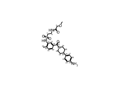 COCC(=O)NCCS(=O)(=O)Nc1cc(C(=O)N2CCC(c3ccc(N)cc3)CC2)ccc1C